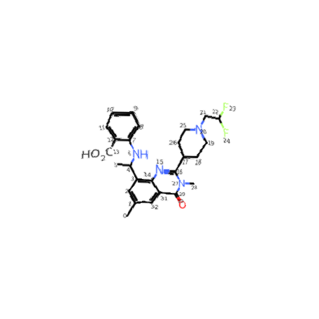 Cc1cc(C(C)Nc2ccccc2C(=O)O)c2nc(C3CCN(CC(F)F)CC3)n(C)c(=O)c2c1